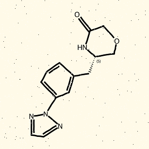 O=C1COC[C@H](Cc2cccc(-n3nccn3)c2)N1